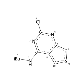 CCC(C)Nc1nc(Cl)nc2cscc12